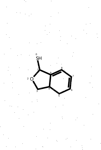 SC1OCC2CC=CC=C21